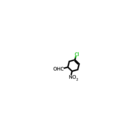 O=CC1CC(Cl)=CCC1[N+](=O)[O-]